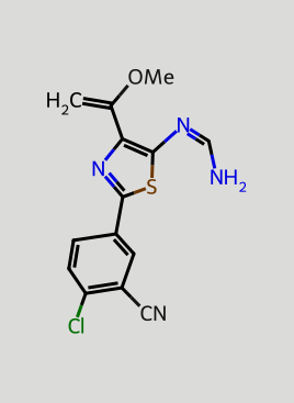 C=C(OC)c1nc(-c2ccc(Cl)c(C#N)c2)sc1/N=C\N